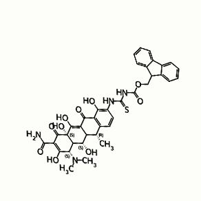 C[C@H]1c2ccc(NC(=S)NC(=O)OCC3c4ccccc4-c4ccccc43)c(O)c2C(=O)C2=C(O)[C@]3(O)C(=O)C(C(N)=O)=C(O)[C@@H](N(C)C)C3[C@@H](O)C21